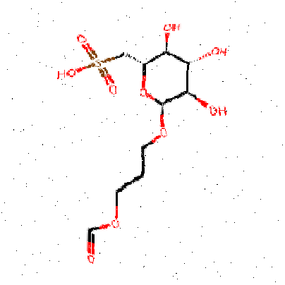 O=COCCCO[C@H]1O[C@H](CS(=O)(=O)O)[C@@H](O)[C@H](O)[C@H]1O